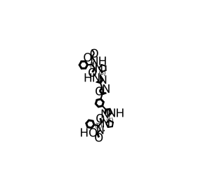 COC(=O)N[C@@H](C(=O)N1CCC[C@H]1c1nc(-c2ncc(-c3cccc(-c4c[nH]c([C@@H]5CCCN5C(=O)[C@@H](c5ccccc5)N(C)C(=O)O)n4)c3)o2)c[nH]1)c1ccccc1